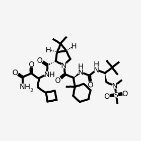 CN(C[C@@H](NC(=O)N[C@H](C(=O)N1C[C@H]2[C@@H]([C@H]1C(=O)NC(CC1CCC1)C(=O)C(N)=O)C2(C)C)C1(C)CCCCC1)C(C)(C)C)S(C)(=O)=O